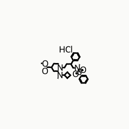 COC(=O)C1CCN(CCC(CN(C)S(=O)(=O)c2ccccc2)c2ccccc2)C(N(C)C2CCC2)C1.Cl